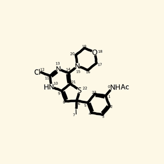 CC(=O)Nc1cccc(C2(I)C=C3NC(Cl)=NC(N4CCOCC4)=C3S2)c1